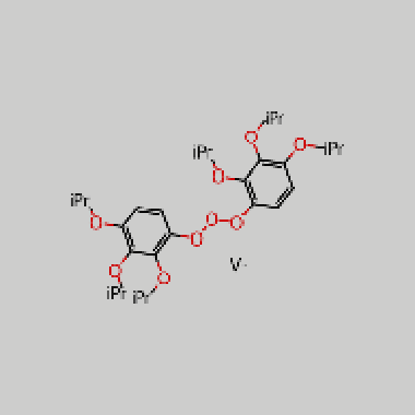 CC(C)Oc1ccc(OOOc2ccc(OC(C)C)c(OC(C)C)c2OC(C)C)c(OC(C)C)c1OC(C)C.[V]